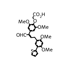 COc1cc(OC)c(-c2cccs2)cc1CC=C(C=O)c1cc(OC)c(OCC(=O)O)c(OC)c1